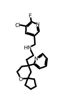 Fc1ncc(CNCCC2(c3ccccn3)CCOC3(CCCC3)C2)cc1Cl